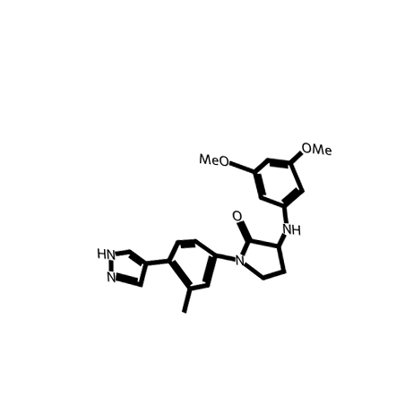 COc1cc(NC2CCN(c3ccc(-c4cn[nH]c4)c(C)c3)C2=O)cc(OC)c1